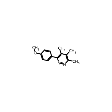 COc1ccc(-c2nnc(C)c(C)c2C)cc1